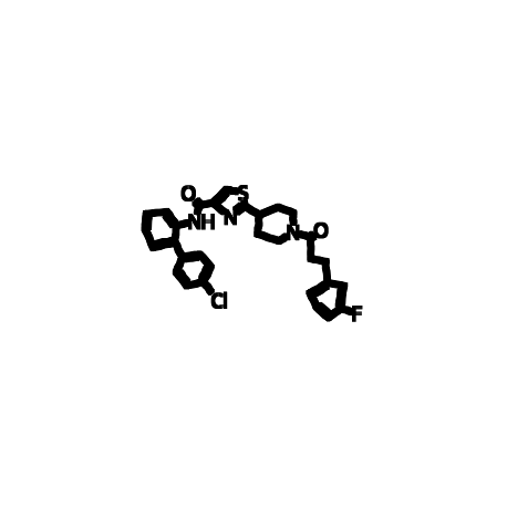 O=C(Nc1ccccc1-c1ccc(Cl)cc1)c1csc(C2CCN(C(=O)CCc3cccc(F)c3)CC2)n1